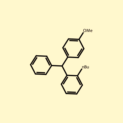 CCCCc1ccccc1C(c1ccccc1)c1ccc(OC)cc1